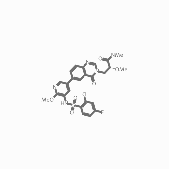 CNC(=O)[C@@H](Cn1cnc2ccc(-c3cnc(OC)c(NS(=O)(=O)c4ccc(F)cc4Cl)c3)cc2c1=O)OC